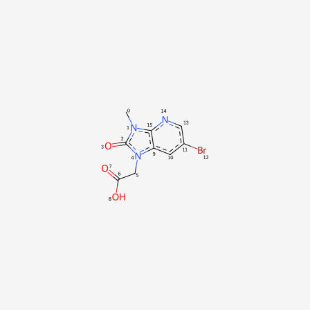 Cn1c(=O)n(CC(=O)O)c2cc(Br)cnc21